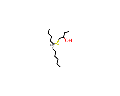 CCCCCC[C@H](CCCC)SCC(O)CC